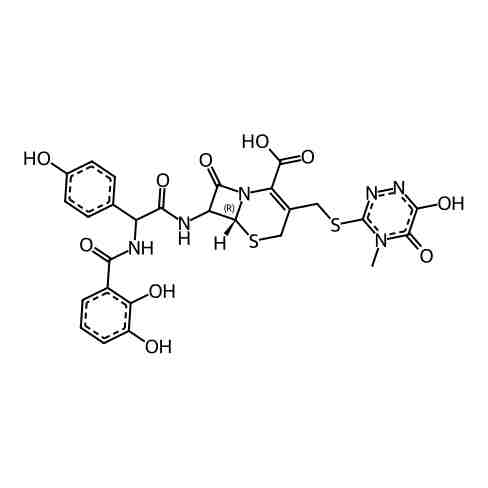 Cn1c(SCC2=C(C(=O)O)N3C(=O)C(NC(=O)C(NC(=O)c4cccc(O)c4O)c4ccc(O)cc4)[C@H]3SC2)nnc(O)c1=O